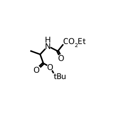 CCOC(=O)C(=O)NC(C)C(=O)OC(C)(C)C